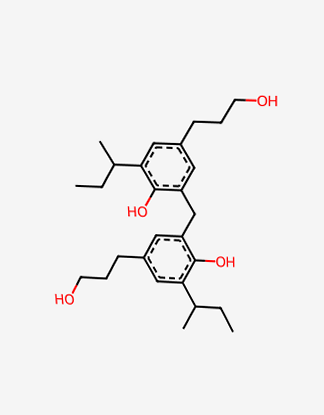 CCC(C)c1cc(CCCO)cc(Cc2cc(CCCO)cc(C(C)CC)c2O)c1O